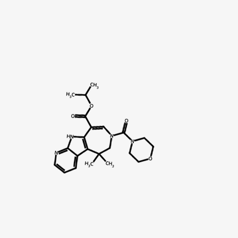 CC(C)OC(=O)C1=CN(C(=O)N2CCOCC2)CC(C)(C)c2c1[nH]c1ncccc21